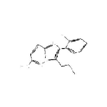 CCCc1c(-c2ccccc2F)nc2ccc(N)nn12